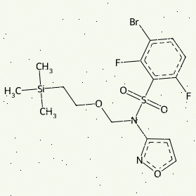 C[Si](C)(C)CCOCN(c1ccon1)S(=O)(=O)c1c(F)ccc(Br)c1F